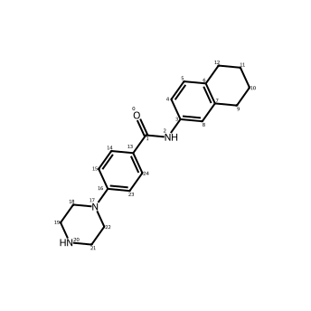 O=C(Nc1ccc2c(c1)CCCC2)c1ccc(N2CCNCC2)cc1